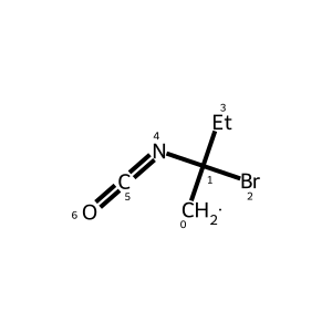 [CH2]C(Br)(CC)N=C=O